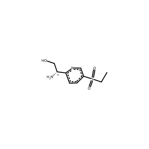 CCS(=O)(=O)c1ccc([C@H](N)CO)nc1